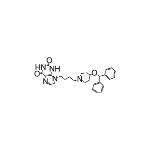 O=c1[nH]c2c(c(=O)[nH]1)N=CCN2CCCCN1CCC(OC(c2ccccc2)c2ccccc2)CC1